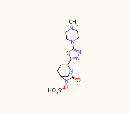 CN1CCN(c2nnc(C3CCC4CN3C(=O)N4OS(=O)(=O)O)o2)CC1